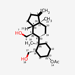 C=C1CC[C@H]2[C@H](CO)[C@@H]([C@@]3(C)CC[C@H](OC(C)=O)C[C@@H]3CO)CC[C@]12C